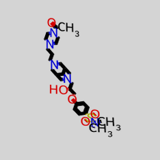 CC(=O)N1CCN(CCCN2CC3CC(C2)CN(CC(O)COc2ccc(S(=O)(=O)N(C)C)cc2)C3)CC1